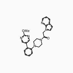 COc1ncc(-c2ccccc2N2CCN(C(=O)Cn3ccc4cccnc43)CC2)cn1